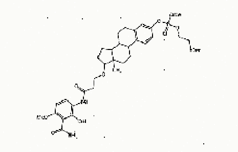 CCCCCCCCCCCCOP(=O)(OC)Oc1ccc2c(c1)CCC1C2CCC2(C)C(OCCC(=O)Nc3ccc(OC)c(C(N)=O)c3O)CCC12